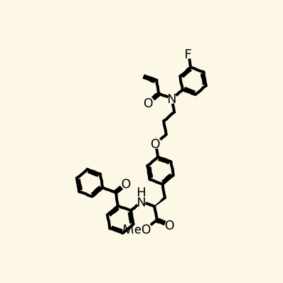 C=CC(=O)N(CCCOc1ccc(C[C@H](Nc2ccccc2C(=O)c2ccccc2)C(=O)OC)cc1)c1cccc(F)c1